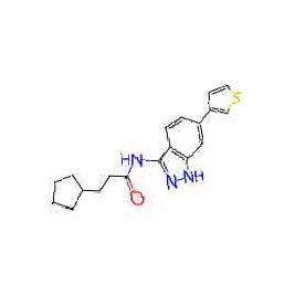 O=C(CCC1CCCC1)Nc1n[nH]c2cc(-c3ccsc3)ccc12